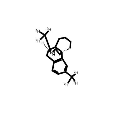 [2H]C([2H])([2H])c1ccc2c(c1)[C@]13CCCC[C@@H]1[C@H](C2)N(C([2H])([2H])[2H])CC3